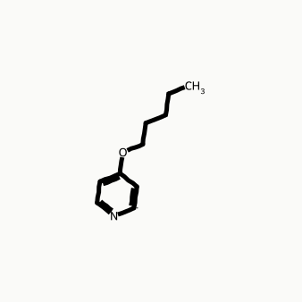 CCCCCOc1c[c]ncc1